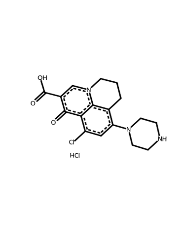 Cl.O=C(O)c1cn2c3c(c(N4CCNCC4)cc(Cl)c3c1=O)CCC2